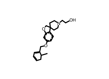 CC1CC=CC=C1COc1ccc2c(c1)OCC21CCN(CCO)CC1